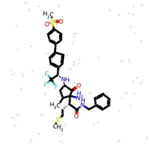 CSCC[C@@H](C(=O)NCc1ccccc1)C1(N)C(=O)[C@@H](N[C@@H](c2ccc(-c3ccc(S(C)(=O)=O)cc3)cc2)C(F)(F)F)CC1C